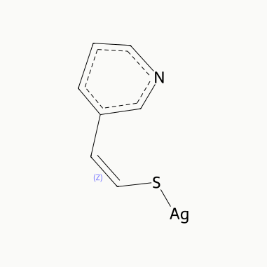 [Ag][S]/C=C\c1cccnc1